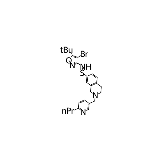 CCCc1ccc(CN2CCc3ccc(SNc4noc(C(C)(C)C)c4Br)cc3C2)cn1